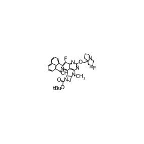 C#Cc1cccc2cccc(-c3ncc4c(N(C)C5CN(C(=O)OC(C)(C)C)C5)nc(OC[C@@]56CCCN5C[C@H](F)C6)nc4c3F)c12